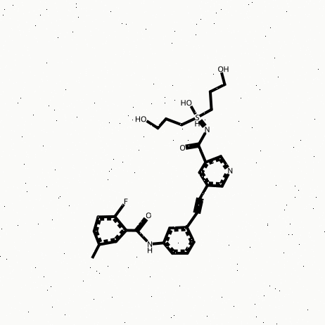 Cc1ccc(F)c(C(=O)Nc2cccc(C#Cc3cncc(C(=O)N=[SH](O)(CCCO)CCCO)c3)c2)c1